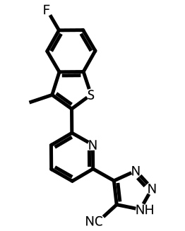 Cc1c(-c2cccc(-c3nn[nH]c3C#N)n2)sc2ccc(F)cc12